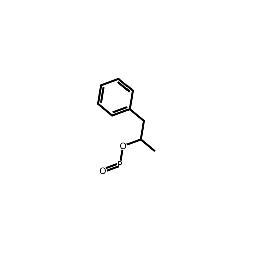 CC(Cc1ccccc1)OP=O